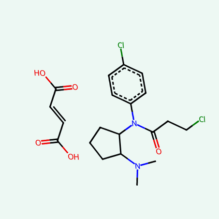 CN(C)C1CCCC1N(C(=O)CCCl)c1ccc(Cl)cc1.O=C(O)C=CC(=O)O